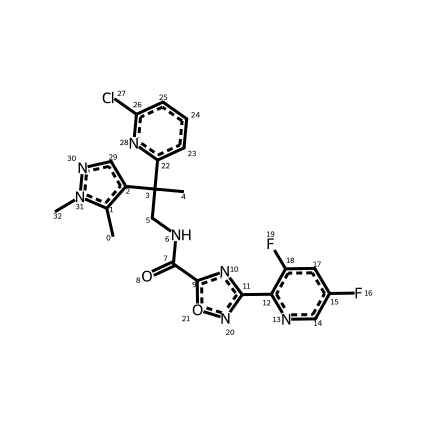 Cc1c(C(C)(CNC(=O)c2nc(-c3ncc(F)cc3F)no2)c2cccc(Cl)n2)cnn1C